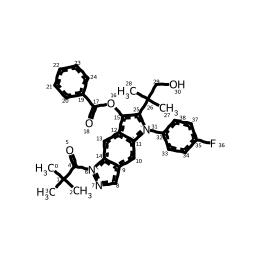 CC(C)(C)C(=O)n1ncc2cc3c(cc21)c(OC(=O)c1ccccc1)c(C(C)(C)CO)n3-c1ccc(F)cc1